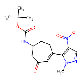 Cn1ncc([N+](=O)[O-])c1C1=CC(=O)CC(NC(=O)OC(C)(C)C)CC1